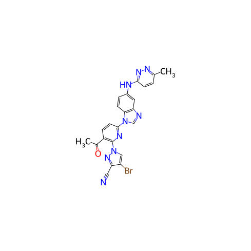 CC(=O)c1ccc(-n2cnc3cc(Nc4ccc(C)nn4)ccc32)nc1-n1cc(Br)c(C#N)n1